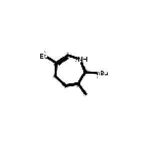 CCCCC1NC=C(CC)CCC1C